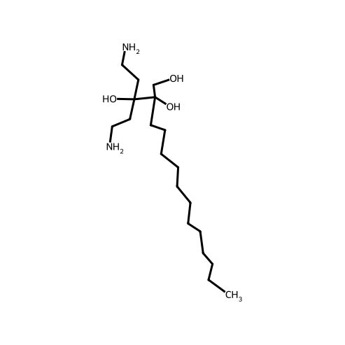 CCCCCCCCCCCCC(O)(CO)C(O)(CCN)CCN